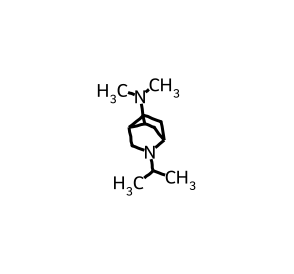 CC(C)N1CC2CCC1CC2N(C)C